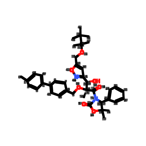 Cc1ccc(-c2ccc(CO[C@](C)(C(=O)N3C(=O)OC(C)(C)[C@@H]3c3ccccc3)[C@@H](O)c3cc(CO[Si](C)(C)C(C)(C)C)on3)cc2)cc1